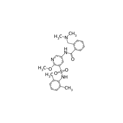 COc1ncc(NC(=O)c2ccccc2CN(C)C)cc1S(=O)(=O)Nc1c(C)cccc1C